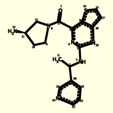 CC(Nc1nc(C(=O)N2CC[C@@H](N)C2)c2sccc2n1)c1cccnc1